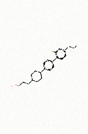 CCCc1ccc(-c2ccc(C3CCC(CCCOC)CC3)cc2)c(F)c1